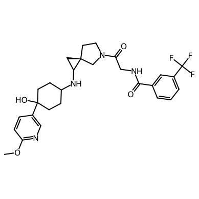 COc1ccc(C2(O)CCC(NC3C[C@]34CCN(C(=O)CNC(=O)c3cccc(C(F)(F)F)c3)C4)CC2)cn1